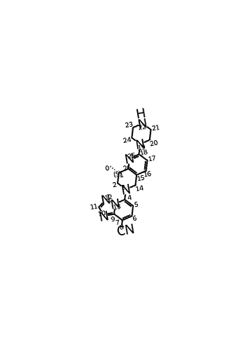 C[C@H]1CN(c2ccc(C#N)c3ncnn23)Cc2ccc(N3CCNCC3)nc21